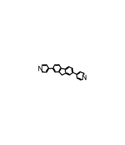 c1cc(-c2ccc3c(c2)Cc2cc(-c4ccncc4)ccc2-3)ccn1